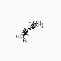 CC(C)(C)Cc1cn(CCN2CCN(C(C)(C)C)CC2)nn1